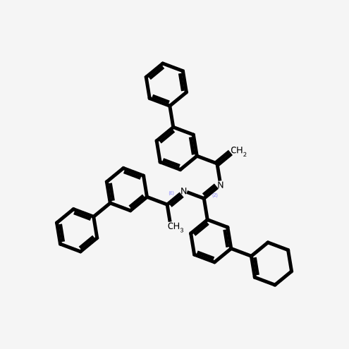 C=C(/N=C(\N=C(/C)c1cccc(-c2ccccc2)c1)c1cccc(C2=CCCCC2)c1)c1cccc(-c2ccccc2)c1